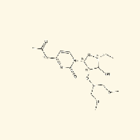 CC[C@H]1O[C@@H](n2ccc(NC(C)=O)nc2=O)[C@@H](OC(COC)COC)C1O